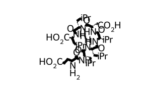 CC(C)C[C@H](NC(=O)[C@H](CC(C)C)NC(=O)[C@H](CC(=O)O)NC(=O)[C@@H](NC(=O)[C@H](CC(C)C)NC(=O)[C@H](CC(C)C)NC(=O)[C@@H](N)CCC(=O)O)C(C)C)C(=O)O